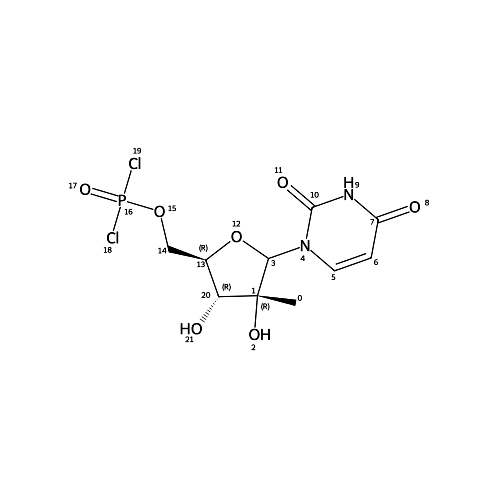 C[C@]1(O)C(n2ccc(=O)[nH]c2=O)O[C@H](COP(=O)(Cl)Cl)[C@H]1O